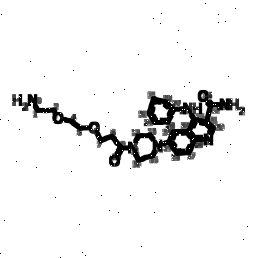 NCCOCCOCCC(=O)N1CCN(c2ccc3ncc(C(N)=O)c(Nc4ccccc4)c3c2)CC1